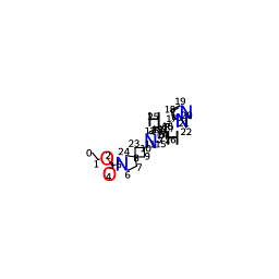 CCOC(=O)N1CCC2(CC(N3C[C@@H]4[C@H](C3)[C@H]4c3ccnn3C)C2)C1